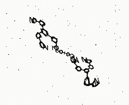 CC(C)(c1ccc(Oc2ccc(-c3cccc(-c4cc(-c5cccc(-c6ccncc6)c5)cc(-c5cccc(-c6cccnc6)c5)c4)c3)cn2)cc1)c1ccc(Oc2ccc(-c3cccc(-c4cc(-c5cccc(-c6cccnc6)c5)cc(-c5cccc(-c6cccnc6)c5)c4)c3)cn2)cc1